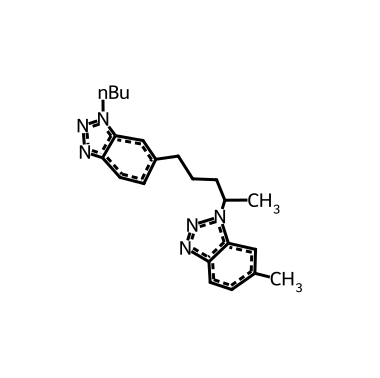 CCCCn1nnc2ccc(CCCC(C)n3nnc4ccc(C)cc43)cc21